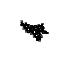 CCOC(=O)c1nc(CN(CCCc2cccs2)C(=O)[C@H](OCOCC[Si](C)(C)C)c2ccc(OC)cc2F)sc1C